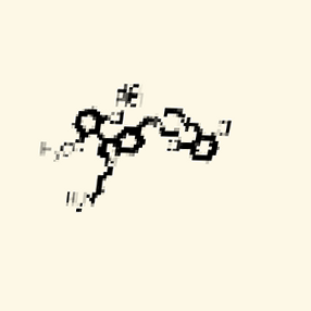 COc1cccc(Cl)c1-c1cn(CCCN)c2ccc(CN3CCN(Cc4c(Cl)cccc4Cl)CC3)cc12.Cl.Cl